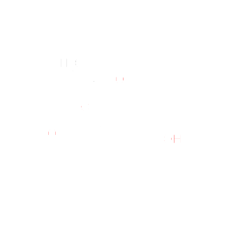 CC(=O)Oc1cc(O)ccc1C=O